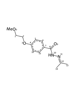 COCCOc1ccc(C(=O)NN=C(C)C)cc1